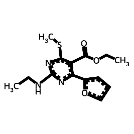 CCNc1nc(SC)c(C(=O)OCC)c(-c2ccco2)n1